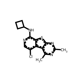 Cc1nc(C)c2c(n1)sc1c(NC3CCC3)ncc(Cl)c12